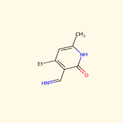 CCc1cc(C)[nH]c(=O)c1C=N